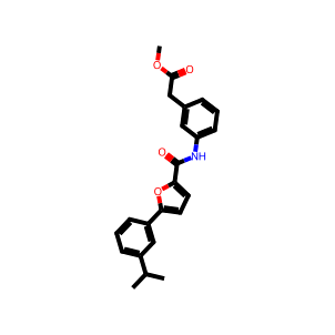 COC(=O)Cc1cccc(NC(=O)c2ccc(-c3cccc(C(C)C)c3)o2)c1